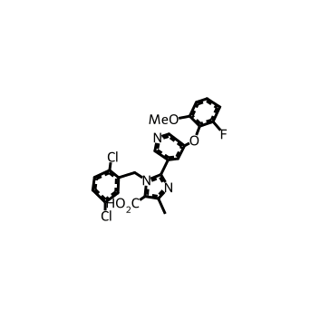 COc1cccc(F)c1Oc1cncc(-c2nc(C)c(C(=O)O)n2Cc2cc(Cl)ccc2Cl)c1